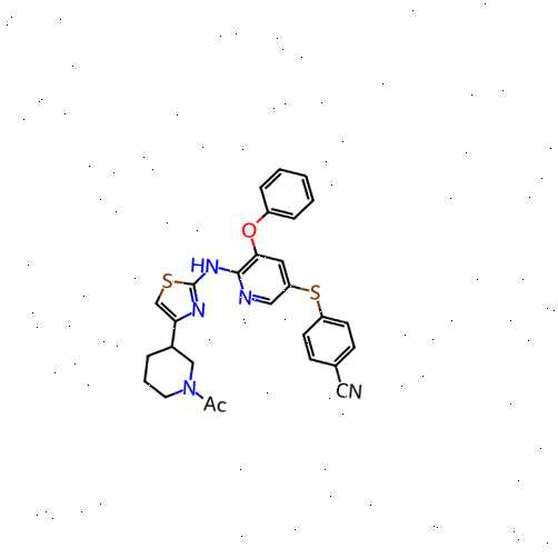 CC(=O)N1CCCC(c2csc(Nc3ncc(Sc4ccc(C#N)cc4)cc3Oc3ccccc3)n2)C1